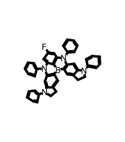 Fc1cc2c3c(c1)N(c1ccccc1)c1cc4c(cc1B3c1cc3c(cc1N2c1ccccc1)N(c1ccccc1)CC3)CCN4c1ccccc1